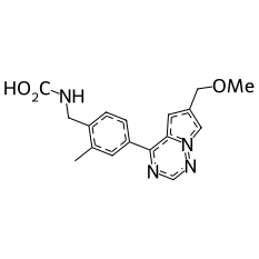 COCc1cc2c(-c3ccc(CNC(=O)O)c(C)c3)ncnn2c1